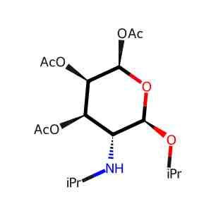 CC(=O)O[C@H]1O[C@@H](OC(C)C)[C@H](NC(C)C)[C@@H](OC(C)=O)[C@H]1OC(C)=O